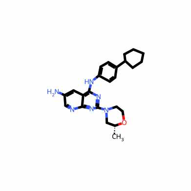 C[C@@H]1CN(c2nc(Nc3ccc(C4CCCCC4)cc3)c3cc(N)cnc3n2)CCO1